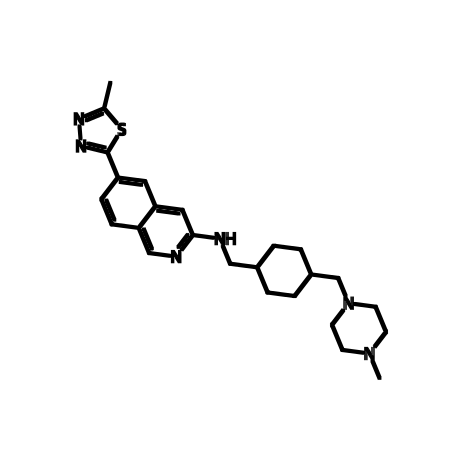 Cc1nnc(-c2ccc3cnc(NCC4CCC(CN5CCN(C)CC5)CC4)cc3c2)s1